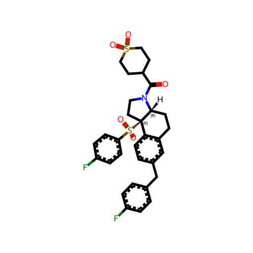 O=C(C1CCS(=O)(=O)CC1)N1CC[C@@]2(S(=O)(=O)c3ccc(F)cc3)c3ccc(Cc4ccc(F)cc4)cc3CC[C@@H]12